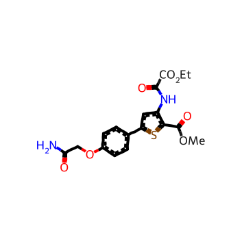 CCOC(=O)C(=O)Nc1cc(-c2ccc(OCC(N)=O)cc2)sc1C(=O)OC